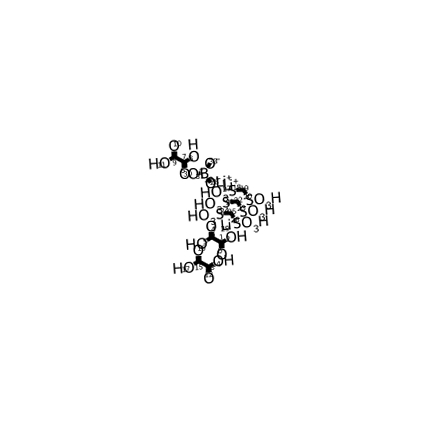 O=C(O)C(=O)O.O=C(O)C(=O)O.O=C(O)C(=O)O.O=S(=O)(O)CS(=O)(=O)O.O=S(=O)(O)CS(=O)(=O)O.O=S(=O)(O)CS(=O)(=O)O.[Li+].[Li+].[Li+].[O-]B([O-])[O-]